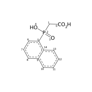 O=C(O)CP(=O)(O)c1cccc2ccccc12